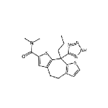 CCCC1(c2nn[nH]n2)c2sccc2CCc2cc(C(=O)N(C)C)sc21